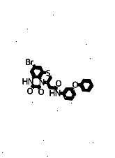 O=C(CC1CSc2cc(Br)cc3[nH]c(=O)c(=O)n1c23)Nc1cccc(Oc2ccccc2)c1